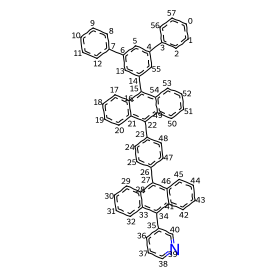 c1ccc(-c2cc(-c3ccccc3)cc(-c3c4ccccc4c(-c4ccc(-c5c6ccccc6c(-c6cccnc6)c6ccccc56)cc4)c4ccccc34)c2)cc1